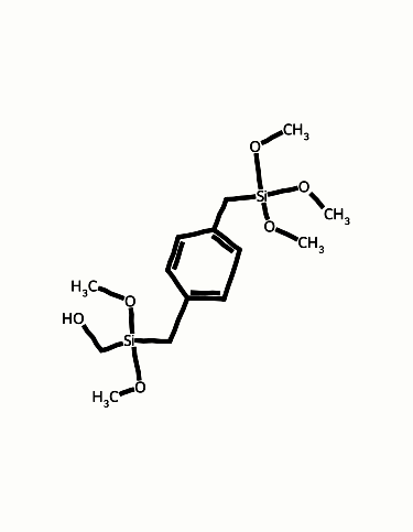 CO[Si](CO)(Cc1ccc(C[Si](OC)(OC)OC)cc1)OC